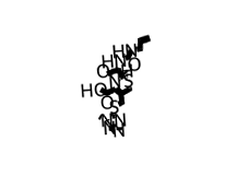 C=CCNC(=O)NC1C(=O)N2C(C(=O)O)=C(CSc3nnnn3C)CS[C@@H]12